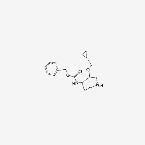 O=C(NC1CCNCC1OCC1CC1)OCc1ccccc1